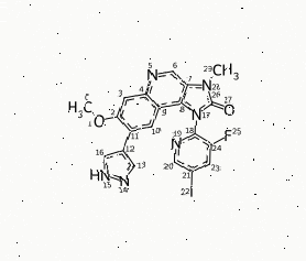 COc1cc2ncc3c(c2cc1-c1cn[nH]c1)n(-c1ncc(I)cc1F)c(=O)n3C